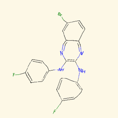 Fc1ccc(Nc2nc3ccc(Br)cc3nc2Nc2ccc(F)cc2)cc1